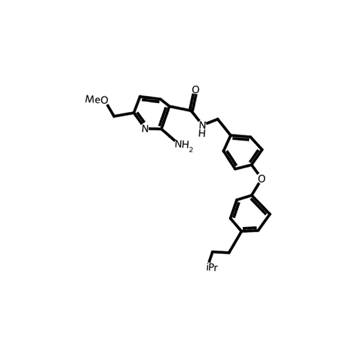 COCc1ccc(C(=O)NCc2ccc(Oc3ccc(CCC(C)C)cc3)cc2)c(N)n1